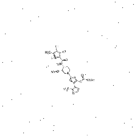 COC(=O)Oc1sc(N2CC[C@@H](NC(=O)c3[nH]c(C)c(Cl)c3Cl)[C@@H](OC)C2)nc1-c1ncnn1C